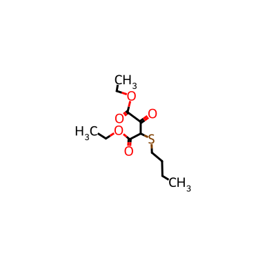 CCCCSC(C(=O)OCC)C(=O)C(=O)OCC